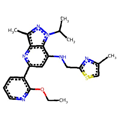 CCOc1ncccc1-c1cc(NCc2nc(C)cs2)c2c(n1)c(C)nn2C(C)C